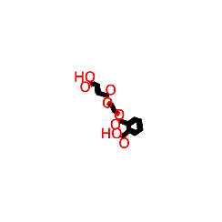 O=C(O)/C=C/C(=O)OCCOC(=O)c1ccccc1C(=O)O